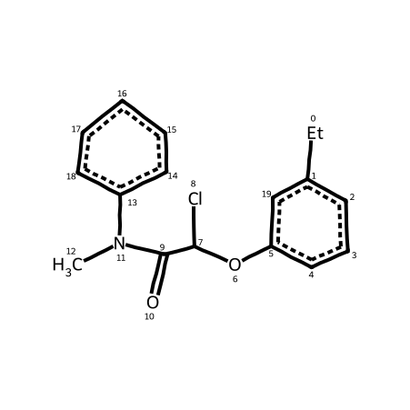 CCc1cccc(OC(Cl)C(=O)N(C)c2ccccc2)c1